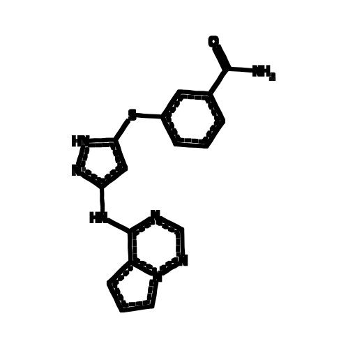 NC(=O)c1cccc(Sc2cc(Nc3ncnn4cccc34)n[nH]2)c1